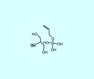 C=CCO[Si](O)(O)O.OCC(O)CO.[Zn]